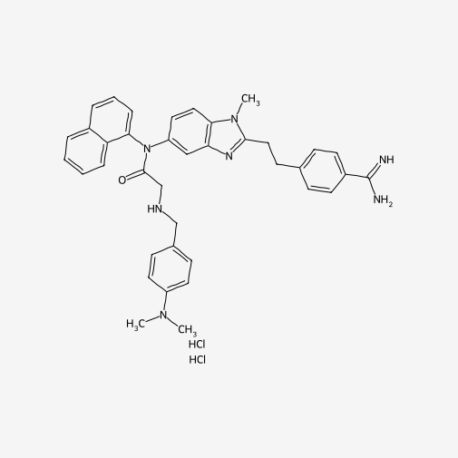 CN(C)c1ccc(CNCC(=O)N(c2ccc3c(c2)nc(CCc2ccc(C(=N)N)cc2)n3C)c2cccc3ccccc23)cc1.Cl.Cl